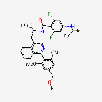 CCOCc1cc(OC)c(-c2ncc(CC(NC(=O)c3c(F)cc(NC(CC)C(F)(F)F)cc3F)C(=O)O)c3ccccc23)c(OC)c1